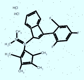 CC1=C(C)C(C)[C]([Zr]([CH]2C=C(c3c(F)cc(F)cc3F)c3ccccc32)=[Si](C)C)=C1C.Cl.Cl